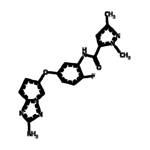 Cc1cc(C(=O)Nc2cc(Oc3ccc4nc(N)nn4c3)ccc2F)n(C)n1